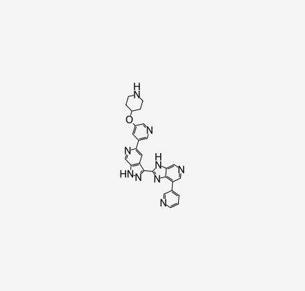 c1cncc(-c2cncc3[nH]c(-c4n[nH]c5cnc(-c6cncc(OC7CCNCC7)c6)cc45)nc23)c1